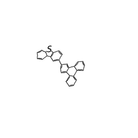 C1=CC2Sc3ccc(-c4ccc5c6ccccc6c6ccccc6c5c4)cc3C2C=C1